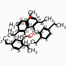 CCc1ccc(CC)c([SiH](O[SiH](c2cc(CC)ccc2CC)c2cc(CC)ccc2CC)c2cc(CC)ccc2CC)c1